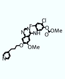 COC(=O)Oc1cc(Nc2ncnc3cc(OCCCc4ccncc4)c(OC)cc23)c(F)cc1Cl